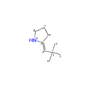 CC(C)(C)/C=C1\CCCN1